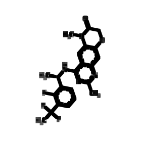 Cc1nc(N[C@H](C)c2cccc(C(C)(F)F)c2F)c2cc3c(cc2n1)OCC(=O)N3C